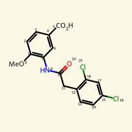 COc1ccc(C(=O)O)cc1NC(=O)Cc1ccc(Cl)cc1Cl